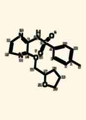 Cc1ccc(S(=O)(=O)Nc2nccnc2OCC2CCCO2)cc1